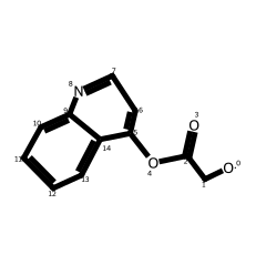 [O]CC(=O)Oc1ccnc2ccccc12